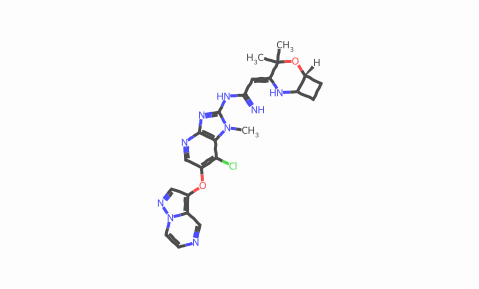 Cn1c(NC(=N)/C=C2\NC3CC[C@H]3OC2(C)C)nc2ncc(Oc3cnn4ccncc34)c(Cl)c21